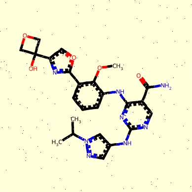 COc1c(Nc2nc(Nc3cnn(C(C)C)c3)ncc2C(N)=O)cccc1-c1nc(C2(O)COC2)co1